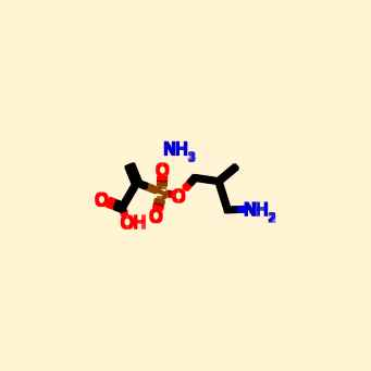 C=C(C(=O)O)S(=O)(=O)OCC(C)CN.N